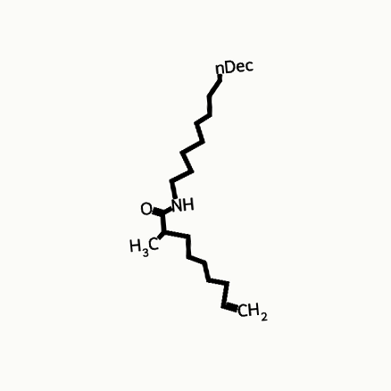 C=CCCCCCC(C)C(=O)NCCCCCCCCCCCCCCCCCC